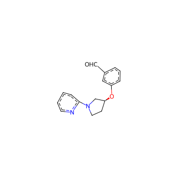 O=Cc1cccc(O[C@H]2CCN(c3ccccn3)C2)c1